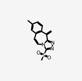 C=C1c2ccc(C)cc2C=Cn2c1nnc2S(C)(=O)=O